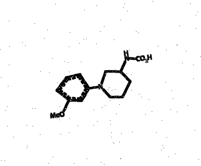 COc1cccc(N2CCCC(NC(=O)O)C2)c1